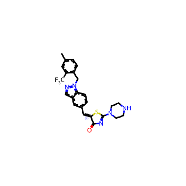 Cc1ccc(Cn2ncc3cc(/C=C4\SC(N5CCNCC5)=NC4=O)ccc32)c(C(F)(F)F)c1